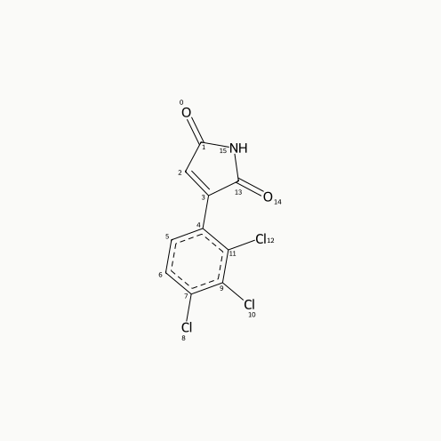 O=C1C=C(c2ccc(Cl)c(Cl)c2Cl)C(=O)N1